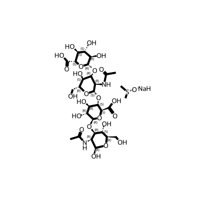 CC(=O)N[C@@H]1[C@@H](O[C@@H]2O[C@H](C(=O)O)[C@@H](O[C@@H]3O[C@H](CO)[C@@H](O)[C@H](O[C@@H]4O[C@H](C(=O)O)[C@@H](O)[C@H](O)[C@H]4O)[C@H]3NC(C)=O)[C@H](O)[C@H]2O)[C@H](O)[C@@H](CO)O[C@H]1O.C[S+](C)[O-].[NaH]